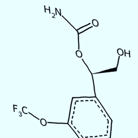 NC(=O)O[C@@H](CO)c1cccc(OC(F)(F)F)c1